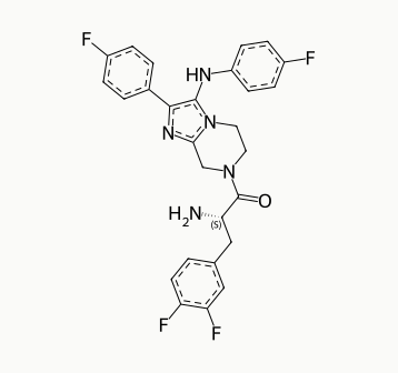 N[C@@H](Cc1ccc(F)c(F)c1)C(=O)N1CCn2c(nc(-c3ccc(F)cc3)c2Nc2ccc(F)cc2)C1